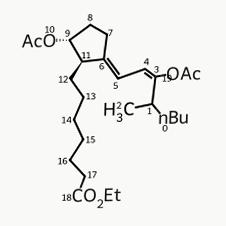 CCCCC(C)C(=CC=C1CC[C@@H](OC(C)=O)[C@@H]1CCCCCCC(=O)OCC)OC(C)=O